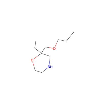 CCCOCC1(CC)CNCCO1